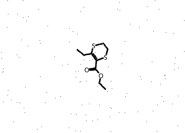 CCOC(=O)C1=C(CC)SCCS1